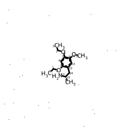 CCOc1cc(OCC)c(OC)cc1C[C@@H](C)N